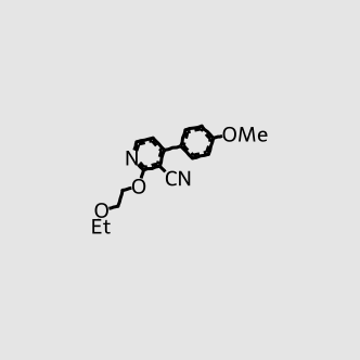 CCOCCOc1nccc(-c2ccc(OC)cc2)c1C#N